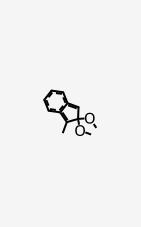 COC1(OC)C=c2ccccc2=C1C